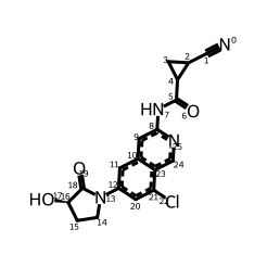 N#CC1CC1C(=O)Nc1cc2cc(N3CC[C@@H](O)C3=O)cc(Cl)c2cn1